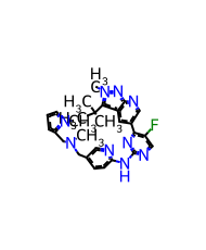 CN(Cc1ccc(Nc2ncc(F)c(-c3cnc4nn(C)c(C(C)(C)C)c4c3)n2)nc1)Cc1cccn1C